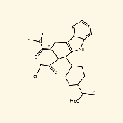 COC(=O)C1CCC(C2c3[nH]c4ccccc4c3C[C@H](C(=O)N(C)C)N2C(=O)CCl)CC1